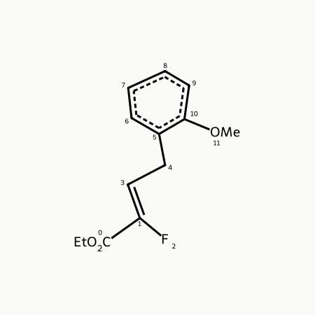 CCOC(=O)C(F)=CCc1ccccc1OC